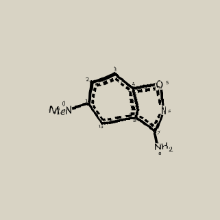 CNc1ccc2onc(N)c2c1